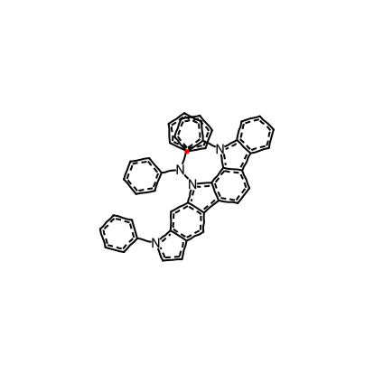 c1ccc(N(c2ccccc2)n2c3cc4c(ccn4-c4ccccc4)cc3c3ccc4c5ccccc5n(-c5ccccc5)c4c32)cc1